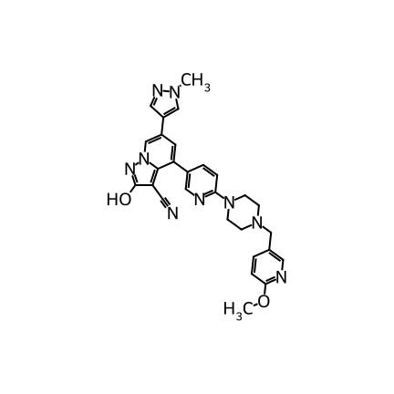 COc1ccc(CN2CCN(c3ccc(-c4cc(-c5cnn(C)c5)cn5nc(O)c(C#N)c45)cn3)CC2)cn1